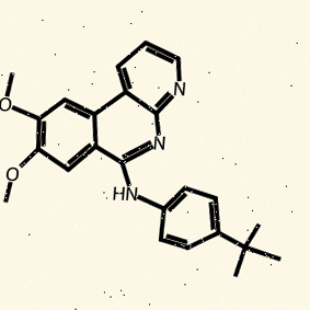 COc1cc2c(Nc3ccc(C(C)(C)C)cc3)nc3ncccc3c2cc1OC